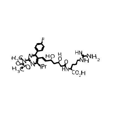 CC(C)c1nc(N(C)S(C)(=O)=O)nc(-c2ccc(F)cc2)c1/C=C/[C@H](O)C[C@@H](O)CC(=O)NC(CCCNC(=N)N)C(=O)O